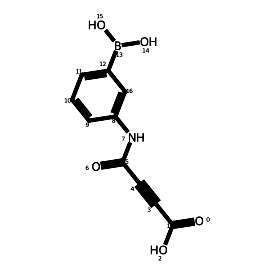 O=C(O)C#CC(=O)Nc1cccc(B(O)O)c1